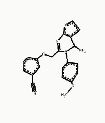 COc1ccc(N2C(COc3cccc(C#N)c3)=Nc3occc3C2N)cc1